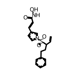 C=CC(CCc1ccccc1)S(=O)(=O)n1ccc(C=CC(=O)NO)c1